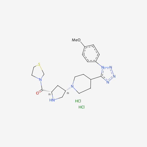 COc1ccc(-n2nnnc2C2CCN([C@@H]3CN[C@H](C(=O)N4CCSC4)C3)CC2)cc1.Cl.Cl